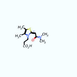 CC1=C(C)N(CCC(=O)O)/C(=C\C(=O)N(C)C)S1